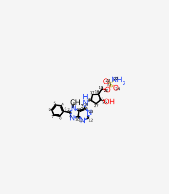 Cn1c(-c2ccccc2)nc2ncnc(N[C@@H]3CC(COS(N)(=O)=O)[C@@H](O)C3)c21